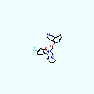 Fc1ccc2c(C3CCCCN3CCCOc3cccc4cnccc34)noc2c1